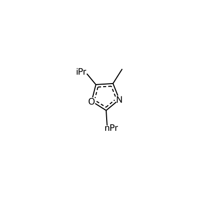 CCCc1nc(C)c(C(C)C)o1